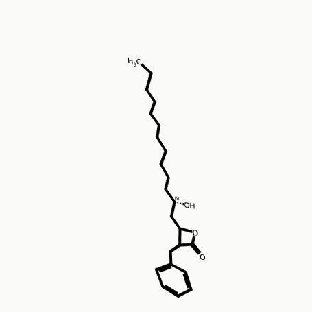 CCCCCCCCCCC[C@H](O)CC1OC(=O)C1Cc1ccccc1